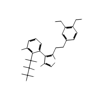 Cc1csc(CCc2ccc(CO)c(CO)c2)c1-c1cccc(C)c1C(O)(F)C(F)(F)C(F)(F)F